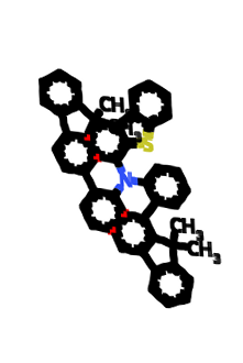 CC1(C)c2ccccc2-c2ccc(-c3ccccc3N(c3ccccc3-c3cccc4c3C(C)(C)c3ccccc3-4)c3cccc4c3sc3ccccc34)cc21